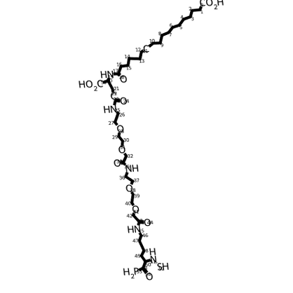 O=C(O)CCCCCCCCCCCCCCCCC(=O)NC(CCC(=O)NCCOCCOCC(=O)NCCOCCOCC(=O)NCCCCC(NS)C(=O)P)C(=O)O